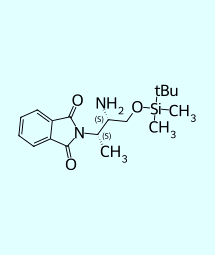 C[C@@H]([C@H](N)CO[Si](C)(C)C(C)(C)C)N1C(=O)c2ccccc2C1=O